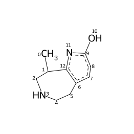 CC1CNCCc2ccc(O)nc21